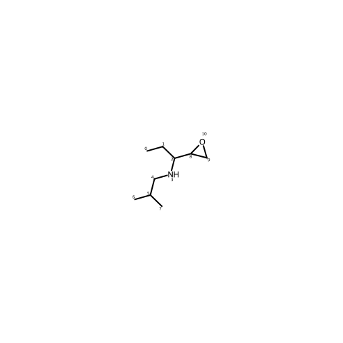 CCC(NCC(C)C)C1CO1